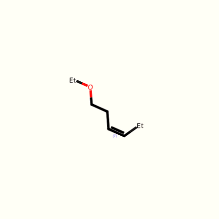 CC/C=C\CCOCC